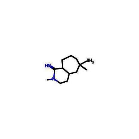 BC1(C)CCCC2C(=N)N(C)CCC2C1